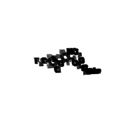 CNOCC(=O)OCc1cc(Oc2ncc(C(F)(F)F)cc2Cl)ccc1[N+](=O)[O-]